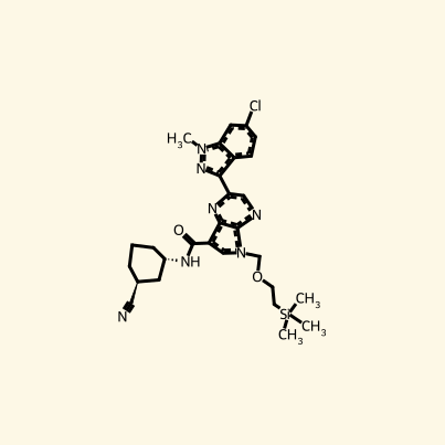 Cn1nc(-c2cnc3c(n2)c(C(=O)N[C@H]2CCC[C@H](C#N)C2)cn3COCC[Si](C)(C)C)c2ccc(Cl)cc21